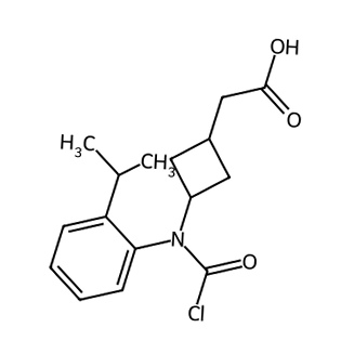 CC(C)c1ccccc1N(C(=O)Cl)C1CC(CC(=O)O)C1